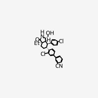 CC[C@@]12CC[C@@H](c3ccc(-c4cccc(C#N)c4)cc3Cl)[C@H](c3ccc(Cl)cc3)[C@@H]1[C@@H](CO)NC2=O